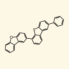 c1ccc(-c2ccc3sc4c(-c5ccc6oc7ccccc7c6c5)cccc4c3c2)cc1